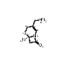 NCC1=CN2C(=O)C[C@H]2SC1